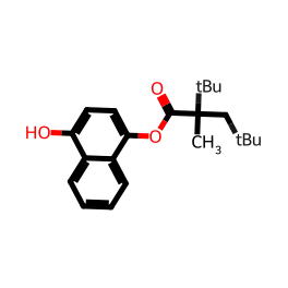 CC(C)(C)CC(C)(C(=O)Oc1ccc(O)c2ccccc12)C(C)(C)C